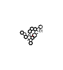 CCC1=C(c2cc3ccc4ccc(N(c5cccc6c5Cc5ccccc5-6)c5cccc6c5C(C)(C)c5ccccc5-6)cc4c3c(C3=C(C)C=CCC=C3)c2C)C=CCC1